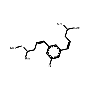 COC(C/C=C\c1cc(Br)cc(/C=C\CC(OSC)SC)c1)SC